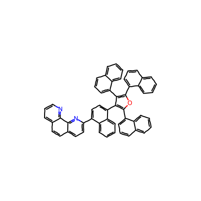 c1ccc2c(-c3oc(-c4cccc5ccccc45)c(-c4ccc(-c5ccc6ccc7cccnc7c6n5)c5ccccc45)c3-c3cccc4ccccc34)cccc2c1